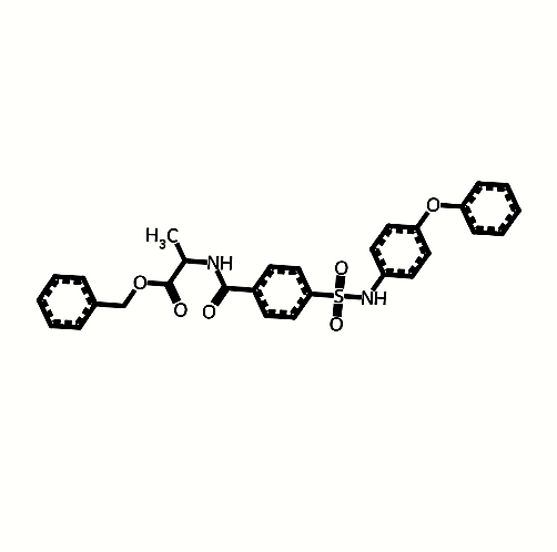 CC(NC(=O)c1ccc(S(=O)(=O)Nc2ccc(Oc3ccccc3)cc2)cc1)C(=O)OCc1ccccc1